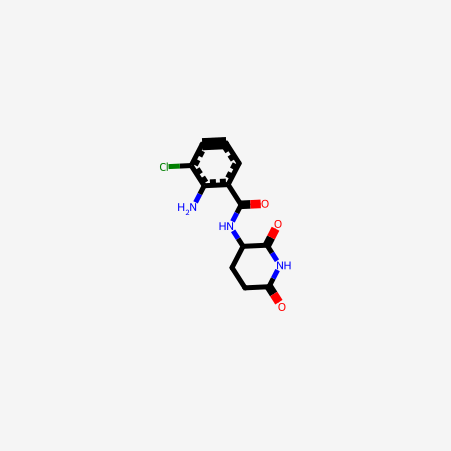 Nc1c(Cl)c#ccc1C(=O)NC1CCC(=O)NC1=O